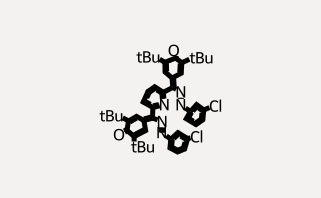 CC(C)(C)C1=CC(=C(/N=N/c2cccc(Cl)c2)c2cccc(C(/N=N/c3cccc(Cl)c3)=C3C=C(C(C)(C)C)C(=O)C(C(C)(C)C)=C3)n2)C=C(C(C)(C)C)C1=O